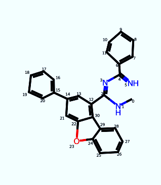 CN/C(=N\C(=N)c1ccccc1)c1cc(-c2ccccc2)cc2oc3ccccc3c12